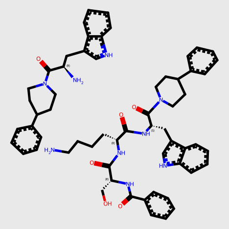 NCCCC[C@@H](NC(=O)[C@@H](CO)NC(=O)c1ccccc1)C(=O)N[C@@H](Cc1c[nH]c2ccccc12)C(=O)N1CCC(c2ccccc2)CC1.N[C@H](Cc1c[nH]c2ccccc12)C(=O)N1CCC(c2ccccc2)CC1